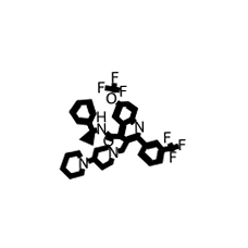 O=C(NC1(c2ccccc2)CC1)c1c(CN2CCC(N3CCCCC3)CC2)c(-c2cccc(C(F)(F)F)c2)nc2ccc(OC(F)(F)F)cc12